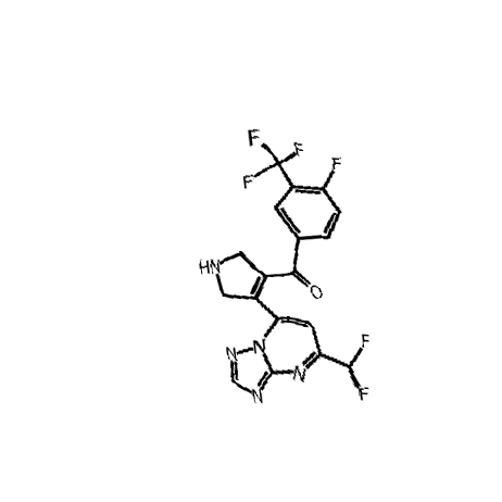 O=C(C1=C(c2cc(C(F)F)nc3ncnn23)CNC1)c1ccc(F)c(C(F)(F)F)c1